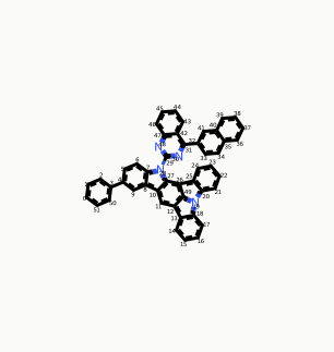 c1ccc(-c2ccc3c(c2)c2cc4c5ccccc5n5c6ccccc6c(c2n3-c2nc(-c3ccc6ccccc6c3)c3ccccc3n2)c45)cc1